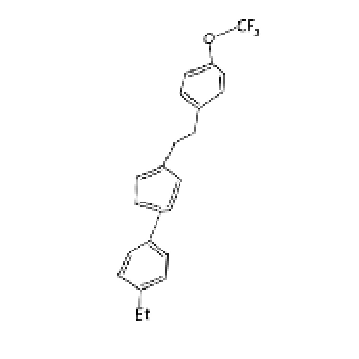 CCc1ccc(-c2ccc(CCc3ccc(OC(F)(F)F)cc3)cc2)cc1